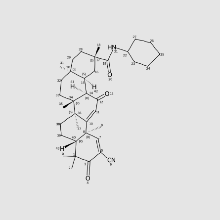 CC1(C)C(=O)C(C#N)=C[C@]2(C)C3=CC(=O)[C@@H]4[C@@H]5C[C@@](C)(C(=O)NC6CCCCC6)CC[C@]5(C)CC[C@@]4(C)[C@]3(C)CC[C@@H]12